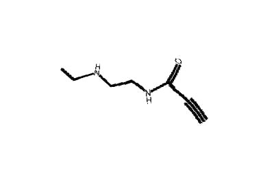 C#CC(=O)NCCNCC